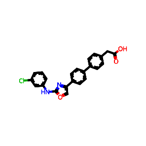 O=C(O)Cc1ccc(-c2ccc(-c3coc(Nc4cccc(Cl)c4)n3)cc2)cc1